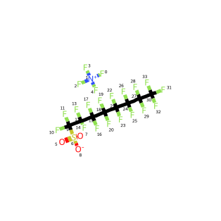 F[N+](F)(F)F.O=S(=O)([O-])C(F)(F)C(F)(F)C(F)(F)C(F)(F)C(F)(F)C(F)(F)C(F)(F)C(F)(F)F